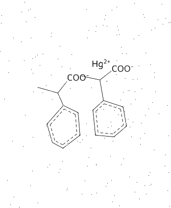 CC(C(=O)[O-])c1ccccc1.CC(C(=O)[O-])c1ccccc1.[Hg+2]